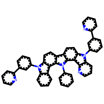 c1ccc(-n2c3c(ccc4c3c3ccccc3n4-c3cccc(-c4ccccn4)c3)c3ccc4c(c5ncccc5n4-c4cccc(-c5ccccn5)c4)c32)cc1